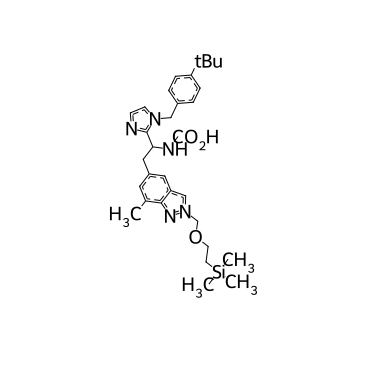 Cc1cc(CC(NC(=O)O)c2nccn2Cc2ccc(C(C)(C)C)cc2)cc2cn(COCC[Si](C)(C)C)nc12